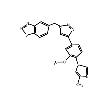 COc1cc(-c2cn(Cc3ccc4snnc4c3)nn2)ccc1-n1cnc(C)c1